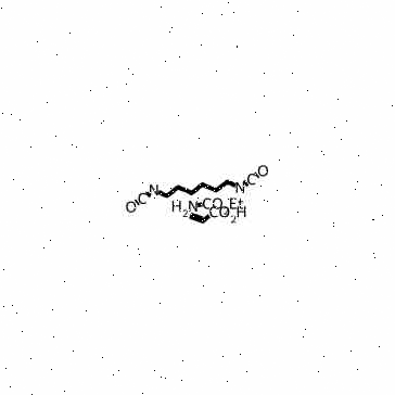 C=CC(=O)O.CCOC(N)=O.O=C=NCCCCCCN=C=O